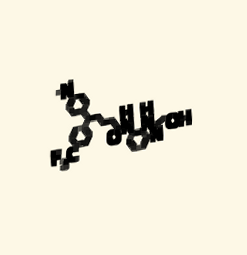 CN(C)c1ccc(C(=CC=CC(=O)Nc2cccc3nc(CO)[nH]c23)c2ccc(C(F)(F)F)cc2)cc1